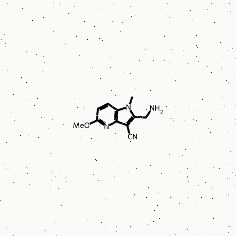 COc1ccc2c(n1)c(C#N)c(CN)n2C